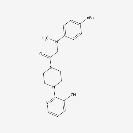 CCCCc1ccc(N(C)CC(=O)N2CCN(c3ncccc3C#N)CC2)cc1